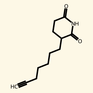 C#CCCCCCC1CCC(=O)NC1=O